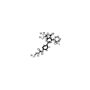 CCNC(=O)Nc1ccc(-c2nc(N3CCOCC3C)c3c(n2)C(C)(C)OC3=O)cc1